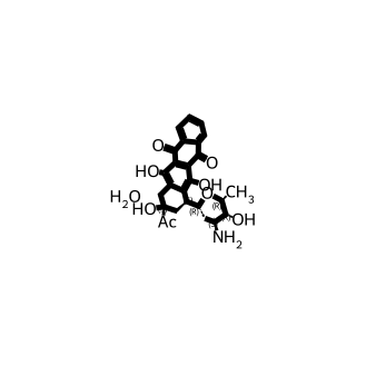 CC(=O)[C@@]1(O)Cc2c(O)c3c(c(O)c2[C@@H]([C@H]2C[C@H](N)[C@@H](O)[C@@H](C)O2)C1)C(=O)c1ccccc1C3=O.O